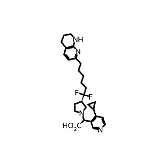 O=C(O)C(c1cnccc1C1CC1)N1CC[C@@H](C(F)(F)CCCCCc2ccc3c(n2)NCCC3)C1